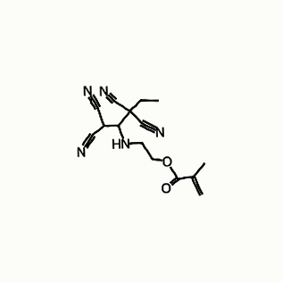 C=C(C)C(=O)OCCNC(C(C#N)C#N)C(C#N)(C#N)CC